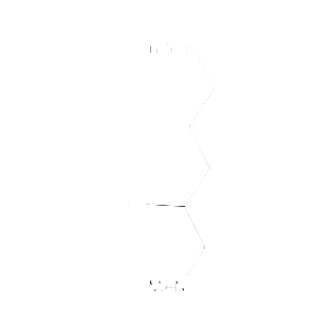 CCCCCCCCC(O)CNC